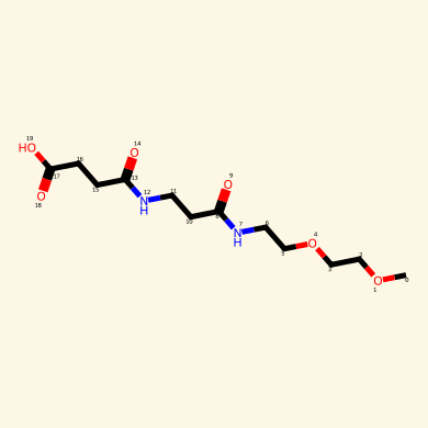 COCCOCCNC(=O)CCNC(=O)CCC(=O)O